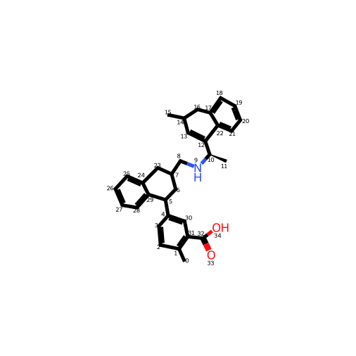 Cc1ccc(C2CC(CN[C@H](C)C3=CC(C)Cc4ccccc43)Cc3ccccc32)cc1C(=O)O